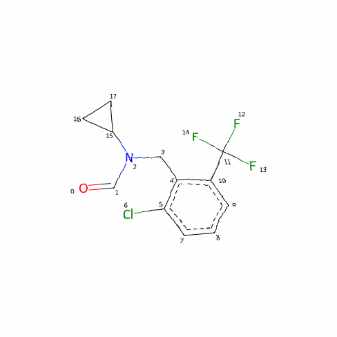 O=CN(Cc1c(Cl)cccc1C(F)(F)F)C1CC1